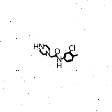 Cc1ccc(NC(=O)CN2CCNCC2)cc1Cl